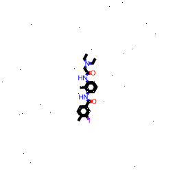 CCN(CC)CC(=O)Nc1cccc(NC(=O)c2ccc(C)c(I)c2)c1C